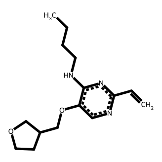 C=Cc1ncc(OCC2CCOC2)c(NCCCC)n1